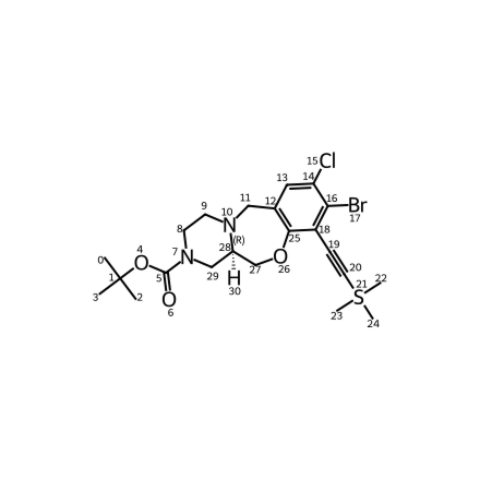 CC(C)(C)OC(=O)N1CCN2Cc3cc(Cl)c(Br)c(C#CS(C)(C)C)c3OC[C@H]2C1